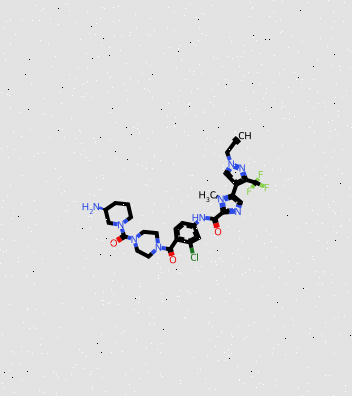 C#CCn1cc(-c2cnc(C(=O)Nc3ccc(C(=O)N4CCN(C(=O)N5CCC[C@H](N)C5)CC4)c(Cl)c3)n2C)c(C(F)(F)F)n1